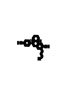 Oc1ccc([C@@H]2Cc3cc(CCCBr)c(O)cc3[C@@H]3CCCC[C@H]23)cc1